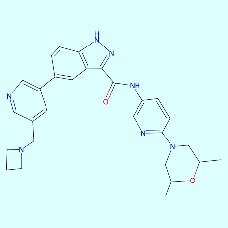 CC1CN(c2ccc(NC(=O)c3n[nH]c4ccc(-c5cncc(CN6CCC6)c5)cc34)cn2)CC(C)O1